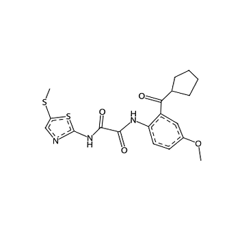 COc1ccc(NC(=O)C(=O)Nc2ncc(SC)s2)c(C(=O)C2CCCC2)c1